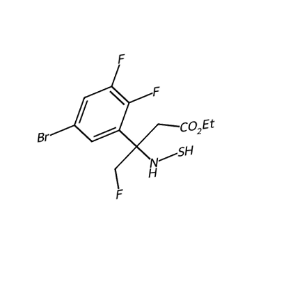 CCOC(=O)CC(CF)(NS)c1cc(Br)cc(F)c1F